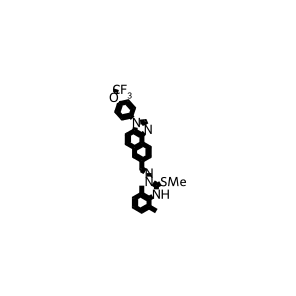 CS/C(=N\N=C\c1ccc2c(ccc3c2ncn3-c2ccc(OC(F)(F)F)cc2)c1)Nc1c(C)cccc1C